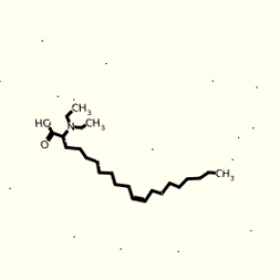 CCCCCCCC/C=C\CCCCCCCCC(C(=O)O)N(CC)CC